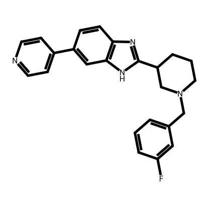 Fc1cccc(CN2CCCC(c3nc4ccc(-c5ccncc5)cc4[nH]3)C2)c1